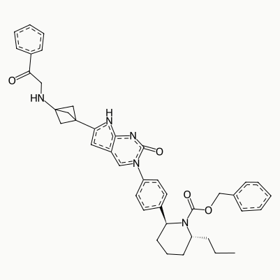 CCC[C@@H]1CCC[C@@H](c2ccc(-n3cc4cc(C56CC(NCC(=O)c7ccccc7)(C5)C6)[nH]c4nc3=O)cc2)N1C(=O)OCc1ccccc1